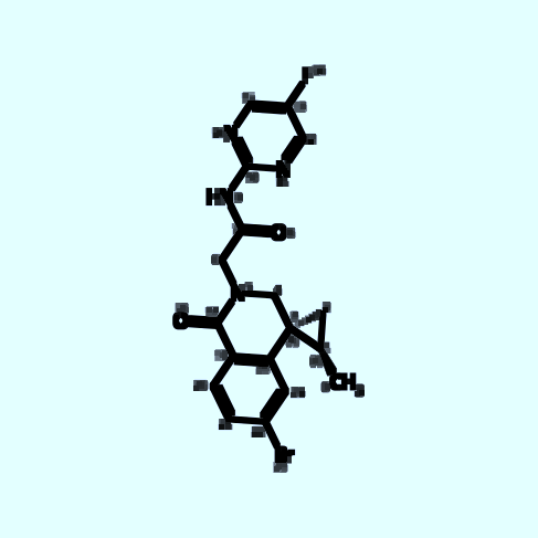 C[C@@H]1C[C@]12CN(CC(=O)Nc1ncc(F)cn1)C(=O)c1ccc(Br)cc12